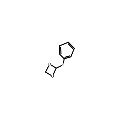 c1ccc(S[C]2OCO2)cc1